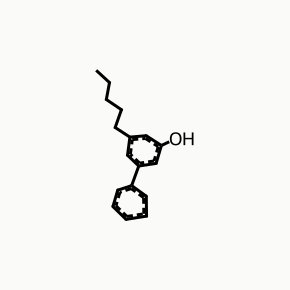 CCCCCc1cc(O)cc(-c2ccccc2)c1